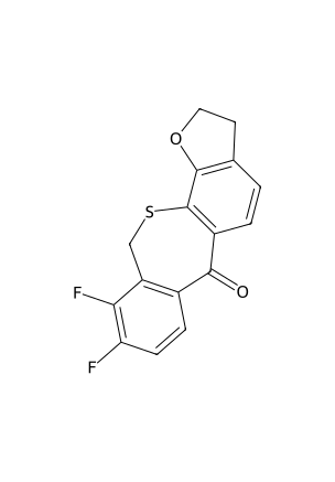 O=C1c2ccc(F)c(F)c2CSc2c1ccc1c2OCC1